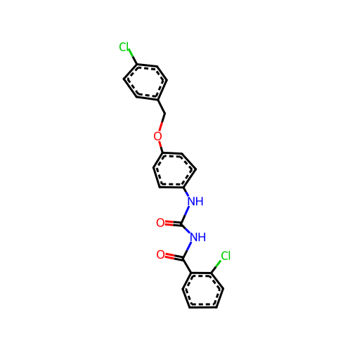 O=C(NC(=O)c1ccccc1Cl)Nc1ccc(OCc2ccc(Cl)cc2)cc1